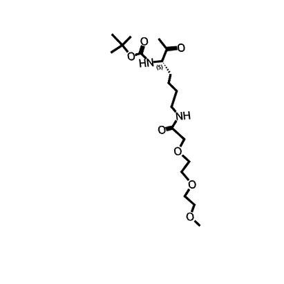 COCCOCCOCC(=O)NCCCC[C@H](NC(=O)OC(C)(C)C)C(C)=O